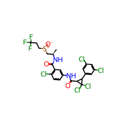 C[C@H](C[S+]([O-])CCC(F)(F)F)NC(=O)c1cc(NC(=O)C2C(c3cc(Cl)cc(Cl)c3)C2(Cl)Cl)ccc1Cl